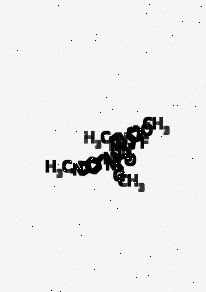 CCN1Cc2ccc(Cn3cc(C(=O)NCc4c(-n5cc(C)nn5)ccc(OC)c4F)c(COC)n3)cc2C1